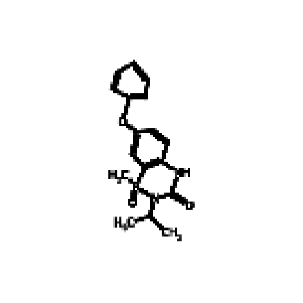 CC(C)N1C(=O)Nc2ccc(Oc3ccccc3)cc2P1(C)=O